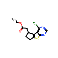 CCOC(=O)CC1CCc2sc3ncnc(Cl)c3c21